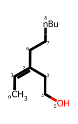 CC=C(CCO)CCCCCC